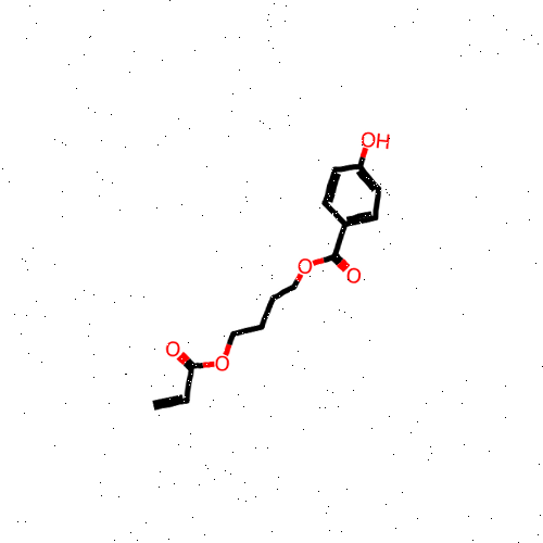 C=CC(=O)OCCCCOC(=O)c1ccc(O)cc1